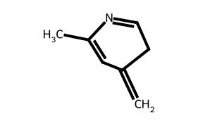 C=C1C=C(C)N=CC1